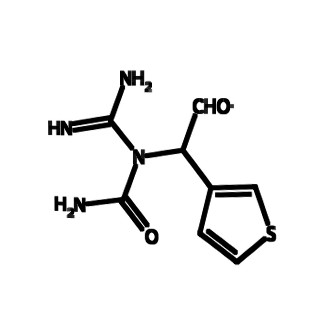 N=C(N)N(C(N)=O)C([C]=O)c1ccsc1